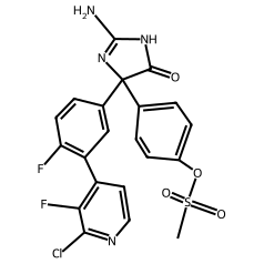 CS(=O)(=O)Oc1ccc(C2(c3ccc(F)c(-c4ccnc(Cl)c4F)c3)N=C(N)NC2=O)cc1